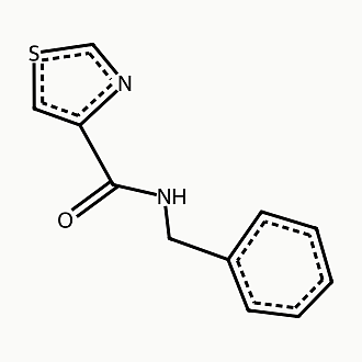 O=C(NCc1ccccc1)c1cscn1